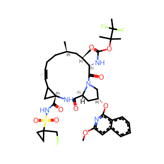 COc1cc2ccccc2c(O[C@@H]2C[C@H]3C(=O)N[C@]4(C(=O)NS(=O)(=O)C5(CF)CC5)CC4/C=C\CC[C@@H](C)C[C@@H](C)[C@H](NC(=O)OC(C)(C)C(C)(F)F)C(=O)N3C2)n1